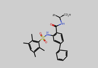 Cc1cc(C)c(C)c(S(=O)(=O)Nc2cc(-c3ccccc3)ccc2C(=O)N[C@H](C(=O)O)C(C)C)c1C